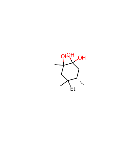 CCC1(C)CC(C)(O)C(O)(O)C[C@@H]1C